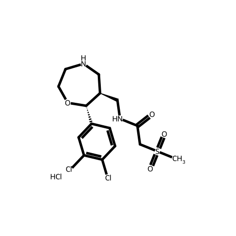 CS(=O)(=O)CC(=O)NC[C@@H]1CNCCO[C@H]1c1ccc(Cl)c(Cl)c1.Cl